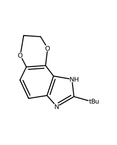 CC(C)(C)c1nc2ccc3c(c2[nH]1)OCCO3